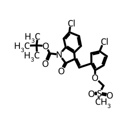 CC(C)(C)OC(=O)N1C(=O)/C(=C/c2cc(Cl)ccc2OCS(C)(=O)=O)c2ccc(Cl)cc21